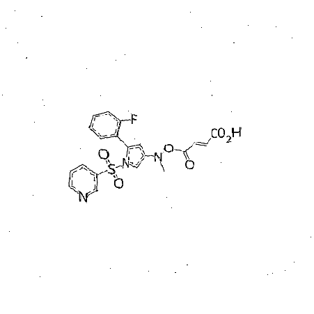 CN(OC(=O)/C=C/C(=O)O)c1cc(-c2ccccc2F)n(S(=O)(=O)c2cccnc2)c1